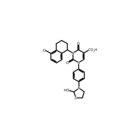 O=C(O)c1cn(-c2ccc(N3CCOC3O)cc2)c(=O)n(C2CCCc3c(Cl)cccc32)c1=O